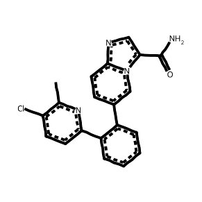 Cc1nc(-c2ccccc2-c2ccc3ncc(C(N)=O)n3c2)ccc1Cl